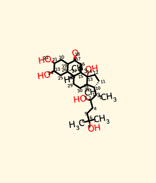 C[C@H](C(O)CCC(C)(C)O)[C@H]1CC[C@@]2(O)C3=CC(=O)C4CC(O)C(O)C[C@]4(C)[C@H]3CC[C@]12C